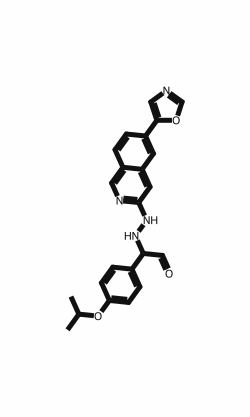 CC(C)Oc1ccc(C(C=O)NNc2cc3cc(-c4cnco4)ccc3cn2)cc1